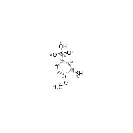 COc1ccc(S(=O)(=O)O)cc1S